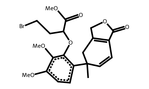 COC(=O)C(CCBr)Oc1c(C2(C)C=CC3=C(COC3=O)C2)ccc(OC)c1OC